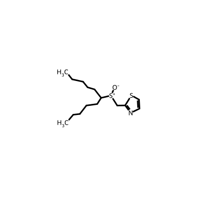 CCCCCC(CCCCC)[S+]([O-])Cc1nccs1